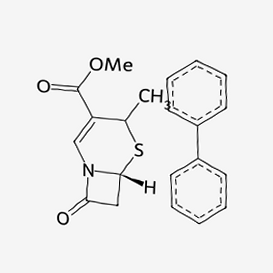 COC(=O)C1=CN2C(=O)C[C@H]2SC1C.c1ccc(-c2ccccc2)cc1